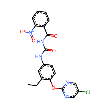 CCc1cc(NC(=O)NC(=O)c2ccccc2[N+](=O)[O-])ccc1Oc1ncc(Cl)cn1